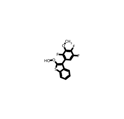 COc1c(F)c(F)cc(-c2c(OO)sc3ccccc23)c1F